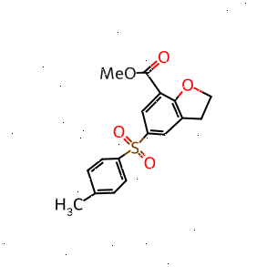 COC(=O)c1cc(S(=O)(=O)c2ccc(C)cc2)cc2c1OCC2